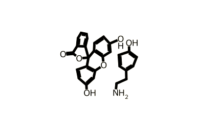 NCCc1ccc(O)cc1.O=C1OC2(c3ccc(O)cc3Oc3cc(O)ccc32)c2ccccc21